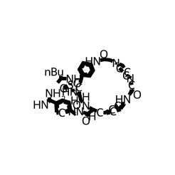 CCCCC(C)NS(=O)(=O)N[C@@H]1Cc2ccc(cc2)NC(=O)CN2CCN(CC2)CC(=O)Nc2ccc(cc2)C[C@@H](C(=O)NCc2ccc(C(=N)N)cc2)NC1=O